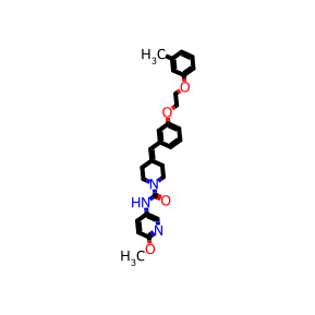 COc1ccc(NC(=O)N2CCC(=Cc3cccc(OCCOc4cccc(C)c4)c3)CC2)cn1